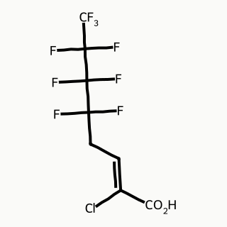 O=C(O)C(Cl)=CCC(F)(F)C(F)(F)C(F)(F)C(F)(F)F